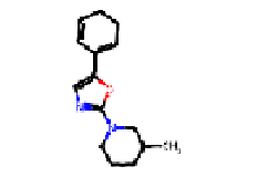 CC1CCCN(c2ncc(C3=CCCC=C3)o2)C1